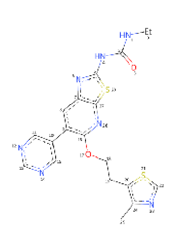 CCNC(=O)Nc1nc2cc(-c3cncnc3)c(OCCc3scnc3C)nc2s1